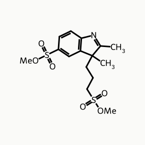 COS(=O)(=O)CCCC1(C)C(C)=Nc2ccc(S(=O)(=O)OC)cc21